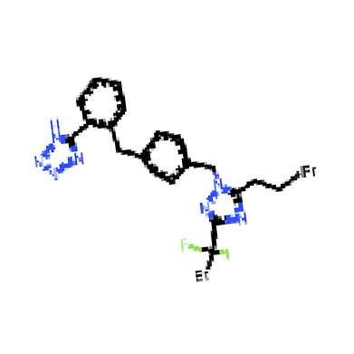 CCC(F)(F)c1nc(CCC(C)C)n(Cc2ccc(Cc3ccccc3-c3nnn[nH]3)cc2)n1